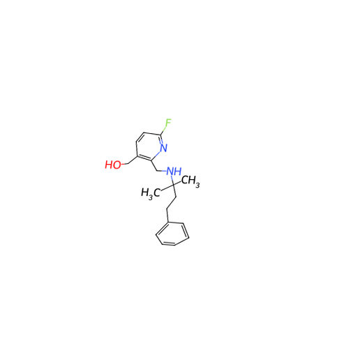 CC(C)(CCc1ccccc1)NCc1nc(F)ccc1CO